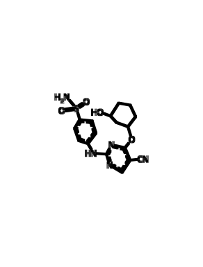 N#Cc1cnc(Nc2ccc(S(N)(=O)=O)cc2)nc1OC1CCCC(O)C1